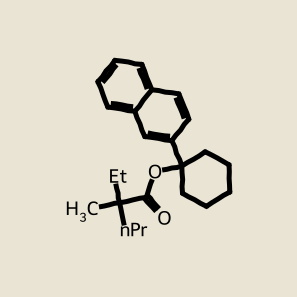 CCCC(C)(CC)C(=O)OC1(c2ccc3ccccc3c2)CCCCC1